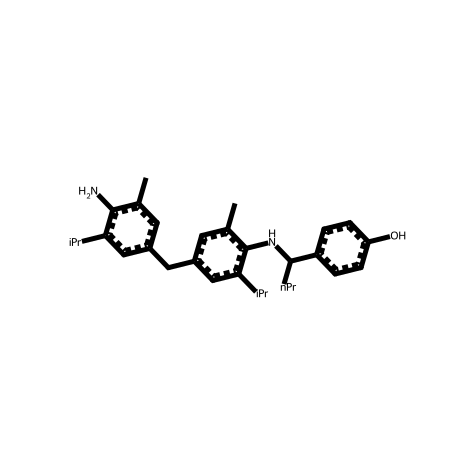 CCCC(Nc1c(C)cc(Cc2cc(C)c(N)c(C(C)C)c2)cc1C(C)C)c1ccc(O)cc1